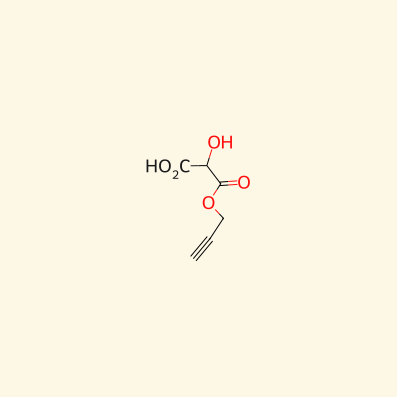 C#CCOC(=O)C(O)C(=O)O